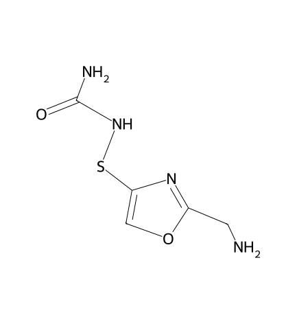 NCc1nc(SNC(N)=O)co1